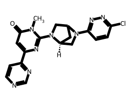 Cn1c(N2CC3C[C@H]2CN3c2ccc(Cl)nn2)nc(-c2ccncn2)cc1=O